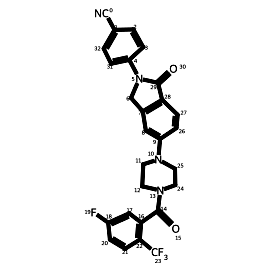 N#Cc1ccc(N2Cc3cc(N4CCN(C(=O)c5cc(F)ccc5C(F)(F)F)CC4)ccc3C2=O)cc1